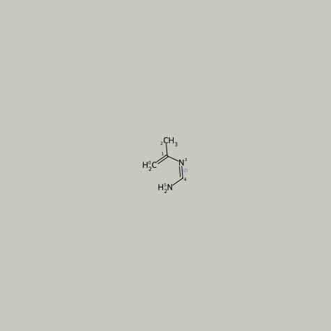 C=C(C)/N=C\N